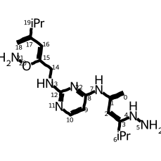 C=C(/C=C(\NN)C(C)C)Nc1ccnc(NC/C(=C/C(=C)C(C)C)ON)n1